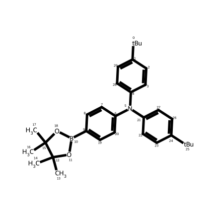 CC(C)(C)c1ccc(N(c2ccc(B3OC(C)(C)C(C)(C)O3)cc2)c2ccc(C(C)(C)C)cc2)cc1